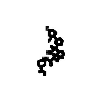 C=CC(=C)N1CCC[C@@H](NC(=O)c2sc3nccc4c3c2[nH]c(=C)n4-c2cccc(-c3ccc(F)cc3F)c2)C1